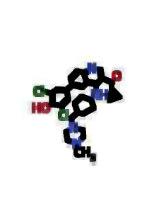 CN1CCN(CC2CCC(Nc3c(C(=O)C4CC4)cnc4ccc(-c5cc(Cl)c(O)c(Cl)c5)cc34)CC2)CC1